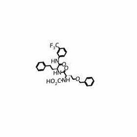 O=C(O)N[C@@H](CCOCc1ccccc1)C(=O)N[C@@H](CCc1ccccc1)C(=O)Nc1cccc(C(F)(F)F)c1